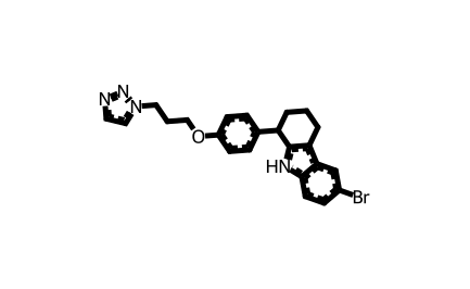 Brc1ccc2[nH]c3c(c2c1)CCCC3c1ccc(OCCCn2ccnn2)cc1